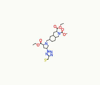 CCOC(=O)C1CC(n2nnc(C=S)n2)CN1CC1CCC2CN(C(=O)OC)C(C(=O)OCC)CC2C1